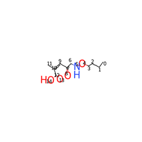 CCCCONCC(=O)C=C(C)C(=O)O